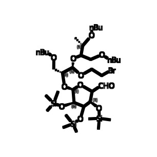 CCCCOCC(O[C@H](OCCBr)[C@@H](COCCCC)O[C@H]1OC(C=O)[C@@H](O[Si](C)(C)C)C(O[Si](C)(C)C)[C@H]1O[Si](C)(C)C)[C@H](C)OCCCC